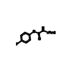 CCCCCNS(=O)Oc1ccc(F)cc1